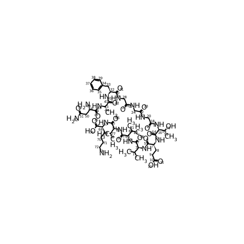 CC(C)[C@H](NC(=O)[C@H](CCC(=O)O)NC(=O)[C@@H](NC(=O)CNC(=O)CNC(=O)CNC(=O)[C@H](Cc1ccccc1)NC(=O)[C@H](C)NC(=O)[C@@H](N)CC(N)=O)[C@@H](C)O)C(=O)N[C@H](C(=O)N[C@H](C(=O)N[C@@H](CCCCN)C(=O)O)C(C)C)C(C)C